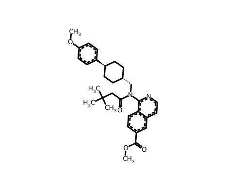 COC(=O)c1ccc2c(N(C[C@H]3CC[C@H](c4ccc(OC)cc4)CC3)C(=O)CC(C)(C)C)nccc2c1